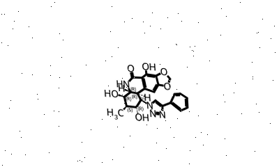 C[C@H]1[C@@H](O)[C@@H]2NC(=O)c3c(cc4c(c3O)OCO4)[C@H]2[C@@H](n2cc(-c3ccccc3)nn2)[C@@H]1O